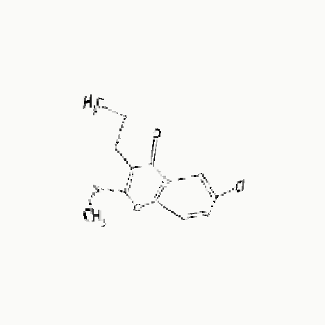 CCCc1c(SC)oc2ccc(Cl)cc2c1=O